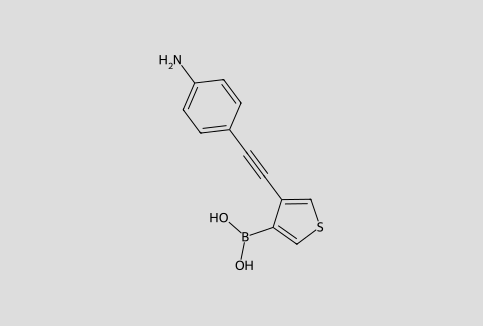 Nc1ccc(C#Cc2cscc2B(O)O)cc1